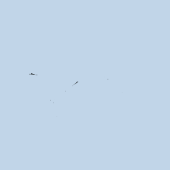 [2H][C@]1(F)CN2C(=O)CC[C@@]2(CO[Si](c2ccccc2)(c2ccccc2)C(C)(C)C)C1